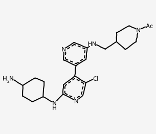 CC(=O)N1CCC(CNc2cncc(-c3cc(NC4CCC(N)CC4)ncc3Cl)c2)CC1